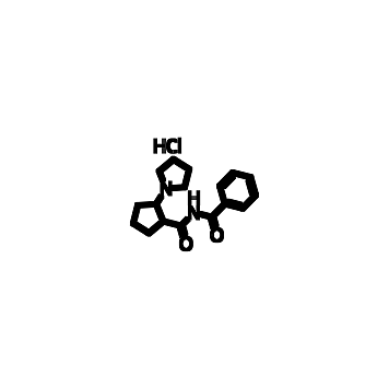 Cl.O=C(NC(=O)C1CCCC1N1CCCC1)c1ccccc1